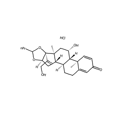 CCCC1O[C@@H]2C[C@H]3[C@@H]4CCC5=CC(=O)C=C[C@]5(C)[C@H]4[C@@H](O)C[C@]3(C)[C@]2(C(=O)CO)O1.Cl